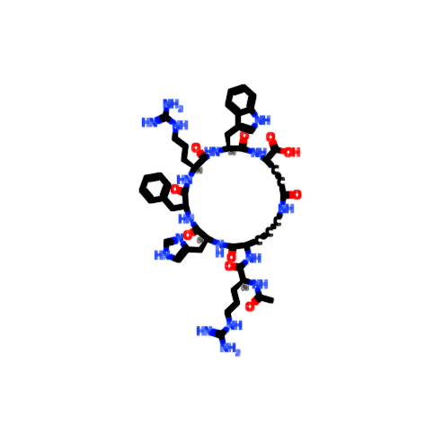 CC(=O)N[C@@H](CCCNC(=N)N)C(=O)NC1CCCNC(=O)CCC(C(=O)O)NC(=O)[C@H](Cc2c[nH]c3ccccc23)NC(=O)[C@H](CCCNC(=N)N)NC(=O)C(Cc2ccccc2)NC(=O)[C@H](Cc2c[nH]cn2)NC1=O